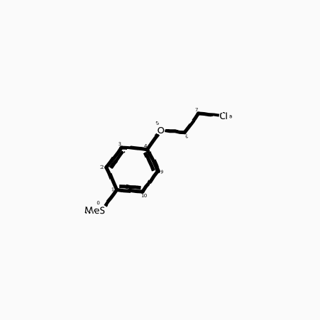 CSc1ccc(OCCCl)cc1